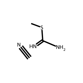 C#N.CSC(=N)N